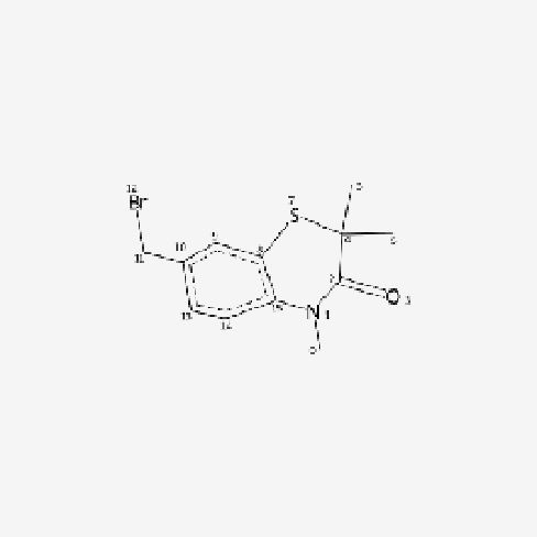 CN1C(=O)C(C)(C)Sc2cc(CBr)ccc21